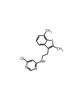 Cc1sc2c(C)cccc2c1CCNc1cc(Cl)ncn1